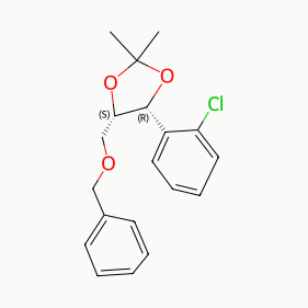 CC1(C)O[C@@H](COCc2ccccc2)[C@@H](c2ccccc2Cl)O1